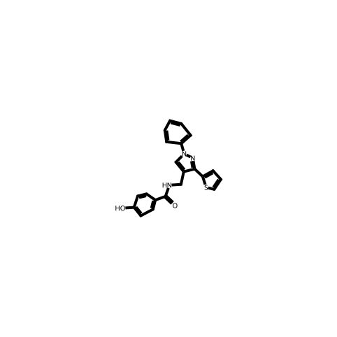 O=C(NCc1cn(-c2ccccc2)nc1-c1cccs1)c1ccc(O)cc1